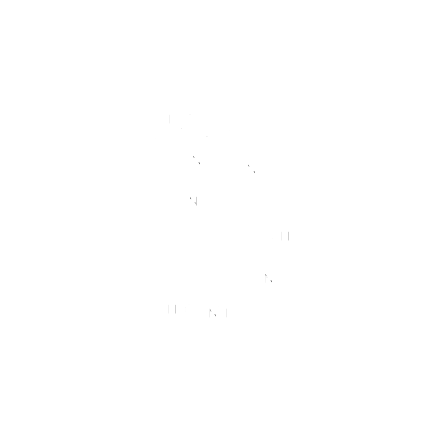 C=C1CC2CCCN2c2cc(-c3cc(NC)cnc3C)cnc2N1CC